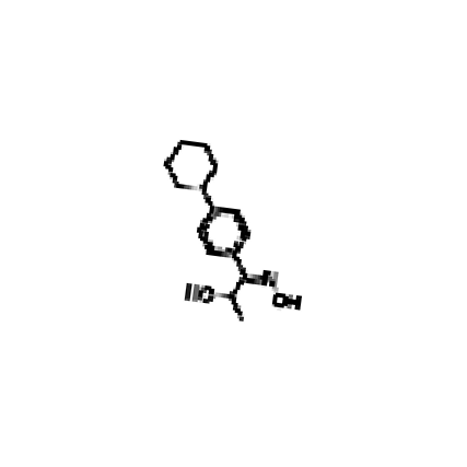 CC(O)C(=NO)c1ccc(C2CCCCC2)cc1